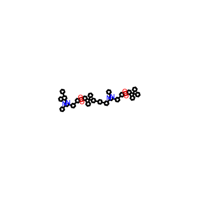 c1ccc(-c2cc(-c3cccc(-c4ccc5c(c4)Oc4c(ccc6c4-c4ccccc4C6(c4ccccc4)c4ccc(-c6ccc(-c7cccc(-c8cc(-c9cccc(-c%10ccc%11c(c%10)Oc%10c(ccc%12c%10-c%10ccccc%10C%12(c%10ccccc%10)c%10ccccc%10)O%11)c9)nc(-c9ccccc9)n8)c7)cc6)cc4)O5)c3)nc(-c3ccc(-c4ccccc4)c4ccccc34)n2)cc1